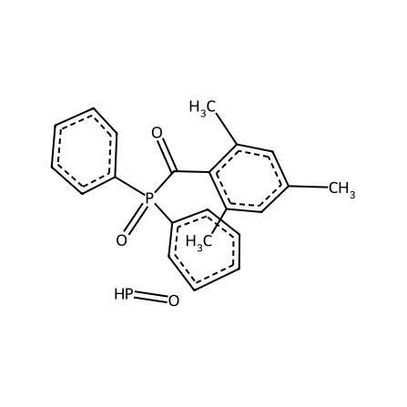 Cc1cc(C)c(C(=O)P(=O)(c2ccccc2)c2ccccc2)c(C)c1.O=P